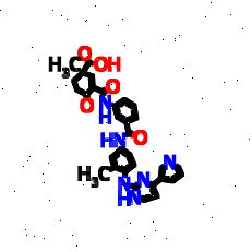 Cc1cc(NC(=O)c2cccc(NC(=O)C3=CC(C)(C(=O)O)CCC3=O)c2)ccc1Nc1nccc(-c2cccnc2)n1